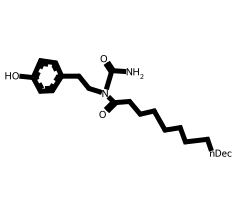 CCCCCCCCCCCCCCCCCC(=O)N(CCc1ccc(O)cc1)C(N)=O